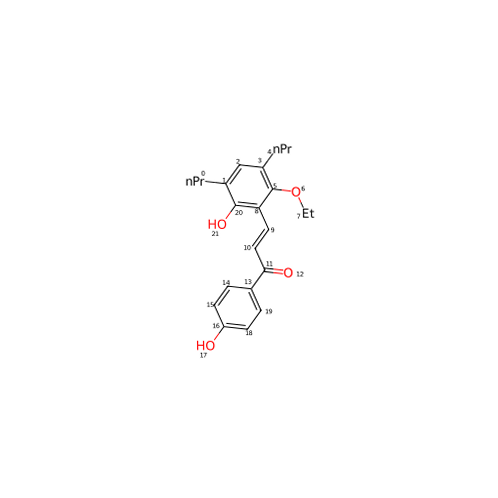 CCCc1cc(CCC)c(OCC)c(/C=C/C(=O)c2ccc(O)cc2)c1O